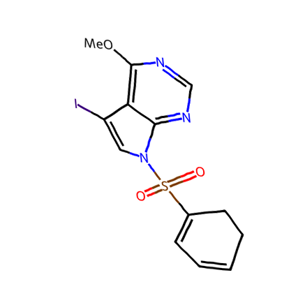 COc1ncnc2c1c(I)cn2S(=O)(=O)C1=CC=CCC1